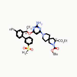 CCCc1ccc(-c2cccc(S(C)(=O)=O)c2)c([C@@H](Oc2cc(N3CCC4(CC3)C[C@@H](C(=O)OCC)N(C(=O)OC(C)(C)C)C4)nc(N)n2)C(F)(F)F)c1